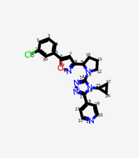 Clc1cccc(-c2cc(C3CCCN3c3nnc(-c4ccncc4)n3C3CC3)no2)c1